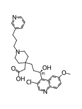 COc1ccc2ncc(Cl)c([C@H](O)CCC3(CC(=O)O)CCN(CCCc4cccnc4)CC3)c2c1